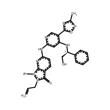 C=CCn1c(=O)c2ccc(Nc3cc(N[C@H](CO)c4ccccc4)c(-c4nc(C)no4)cn3)nc2n1C(C)C